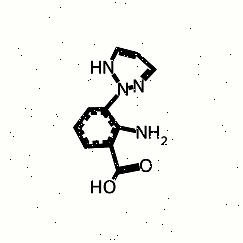 Nc1c(C(=O)O)cccc1N1N=CC=CN1